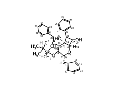 CC(C)(C)[Si](C)(C)O[C@@H]1[C@@H](Sc2ccccc2)O[C@@H]2C(O)C(c3ccccc3)[C@]2(O)[C@@H]1OCc1ccccc1